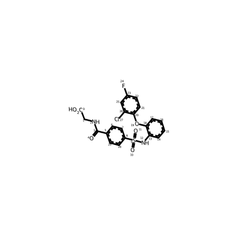 O=C(O)CNC(=O)c1ccc(S(=O)(=O)Nc2ccccc2Oc2ccc(F)cc2Cl)cc1